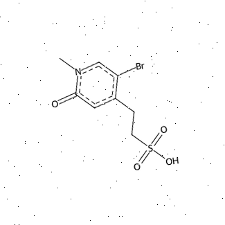 Cn1cc(Br)c(CCS(=O)(=O)O)cc1=O